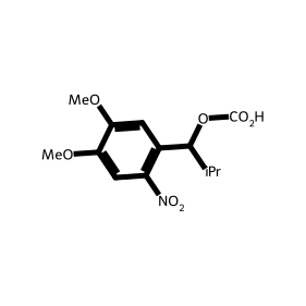 COc1cc(C(OC(=O)O)C(C)C)c([N+](=O)[O-])cc1OC